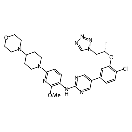 COc1nc(N2CCC(N3CCOCC3)CC2)ccc1Nc1ncc(-c2ccc(Cl)c(O[C@@H](C)Cn3cnnn3)c2)cn1